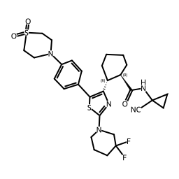 N#CC1(NC(=O)[C@@H]2CCCC[C@H]2c2nc(N3CCCC(F)(F)C3)sc2-c2ccc(N3CCS(=O)(=O)CC3)cc2)CC1